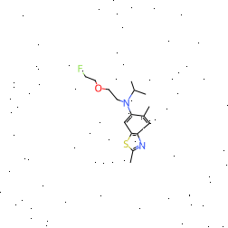 Cc1nc2cc(C)c(N(CCOCCF)C(C)C)cc2s1